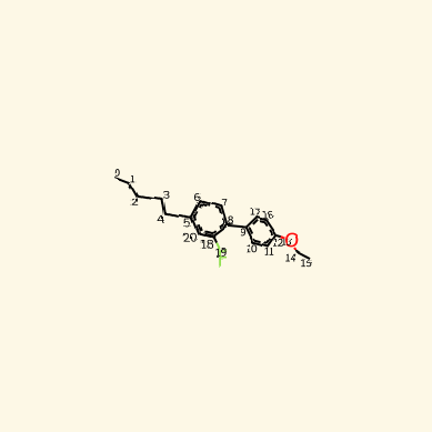 CCCCCc1ccc(-c2ccc(OCC)cc2)c(F)c1